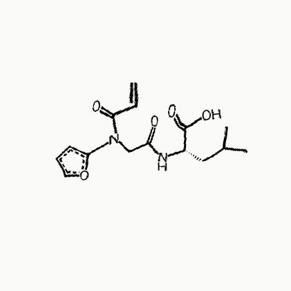 C=CC(=O)N(CC(=O)N[C@@H](CC(C)C)C(=O)O)c1ccco1